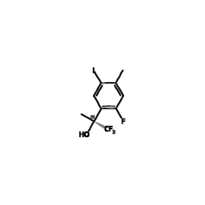 Cc1cc(F)c([C@](C)(O)C(F)(F)F)cc1I